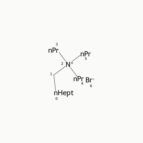 CCCCCCCC[N+](CCC)(CCC)CCC.[Br-]